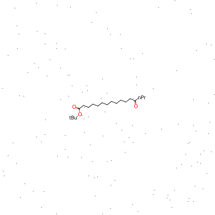 CCCC(=O)CCCCCCCCCCCC(=O)OC(C)(C)C